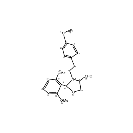 CCCOc1ccc(CCN2C(C=O)COC2c2c(OC)cccc2OC)cc1